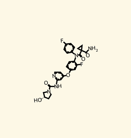 NC(=O)C1(C(=O)N(c2ccc(F)cc2)c2ccc(Oc3ccnc(NC(=O)N4CC[C@H](O)C4)c3)cc2F)CC1